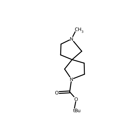 CN1CCC2(CCN(C(=O)OC(C)(C)C)C2)C1